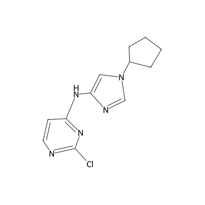 Clc1nccc(Nc2cn(C3CCCC3)cn2)n1